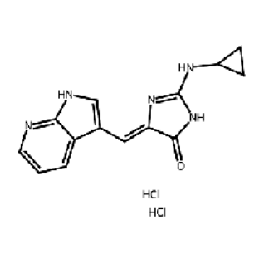 Cl.Cl.O=C1NC(NC2CC2)=NC1=Cc1c[nH]c2ncccc12